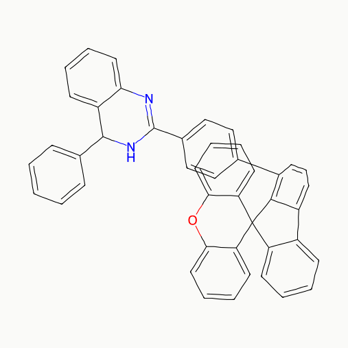 c1ccc(C2NC(c3ccc(-c4cccc5c4C4(c6ccccc6Oc6ccccc64)c4ccccc4-5)cc3)=Nc3ccccc32)cc1